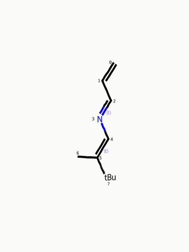 C=C/C=N/C=C(\C)C(C)(C)C